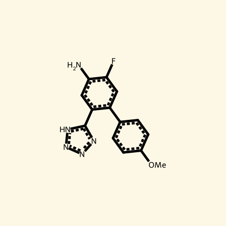 COc1ccc(-c2cc(F)c(N)cc2-c2nnn[nH]2)cc1